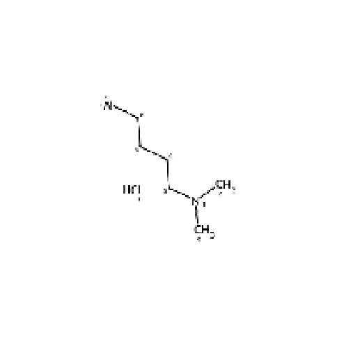 CN(C)CCC[CH2][Al].Cl